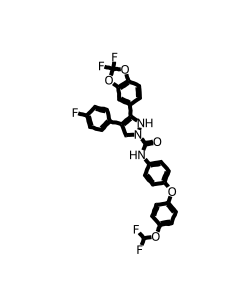 O=C(Nc1ccc(Oc2ccc(OC(F)F)cc2)cc1)N1CC(c2ccc(F)cc2)=C(c2ccc3c(c2)OC(F)(F)O3)N1